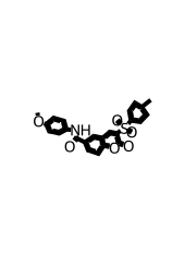 COc1ccc(NC(=O)c2ccc3oc(=O)c(S(=O)(=O)c4ccc(C)cc4)cc3c2)cc1